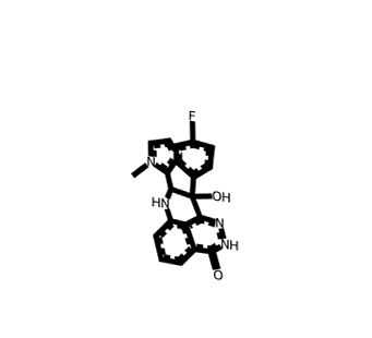 Cn1ccnc1C1Nc2cccc3c(=O)[nH]nc(c23)C1(O)c1ccc(F)cc1